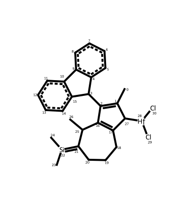 CC1=C(C2c3ccccc3-c3ccccc32)C2=C(CCCC(=[Si](C)C)C2C)[CH]1[Hf]([Cl])[Cl]